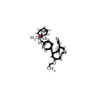 CCOc1cc(-c2ccc(NC3CC4CC(C3)N4C(C)=O)nc2)c2c(C#N)cnn2c1